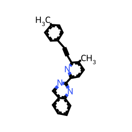 Cc1ccc(C#Cc2nc(-c3ncc4ccccc4n3)ccc2C)cc1